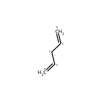 C=CCC=C